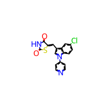 O=C1NC(=O)/C(=C/c2cn(-c3ccncc3)c3ccc(Cl)cc23)S1